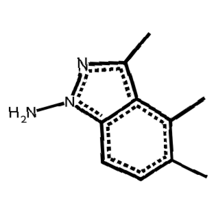 Cc1ccc2c(c(C)nn2N)c1C